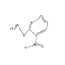 NSc1ncccc1[N+](=O)[O-]